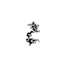 Nc1nc2c(ncn2[C@H]2CCC(COP(=O)(O)OP(=O)(O)OP(=O)(O)O)O2)c(=O)[nH]1